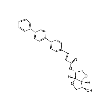 O=C(/C=C/c1ccc(-c2ccc(-c3ccccc3)cc2)cc1)O[C@@H]1CO[C@H]2[C@@H]1OC[C@@H]2O